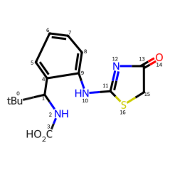 CC(C)(C)C(NC(=O)O)c1ccccc1NC1=NC(=O)CS1